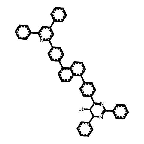 CCC1C(c2ccc(-c3cccc4c(-c5ccc(-c6cc(-c7ccccc7)cc(-c7ccccc7)n6)cc5)cccc34)cc2)=NC(c2ccccc2)=NC1c1ccccc1